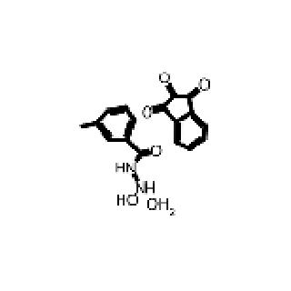 Cc1cccc(C(=O)NNO)c1.O.O=c1c(=O)c2ccccc2c1=O